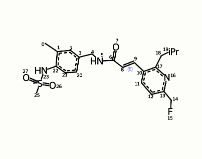 Cc1cc(CNC(=O)/C=C/c2ccc(CF)nc2CC(C)C)ccc1NS(C)(=O)=O